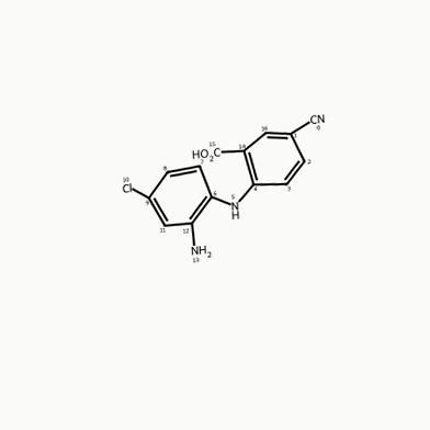 N#Cc1ccc(Nc2ccc(Cl)cc2N)c(C(=O)O)c1